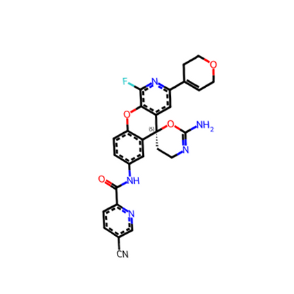 N#Cc1ccc(C(=O)Nc2ccc3c(c2)[C@@]2(CCN=C(N)O2)c2cc(C4=CCOCC4)nc(F)c2O3)nc1